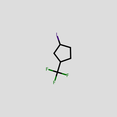 FC(F)(F)C1CCC(I)C1